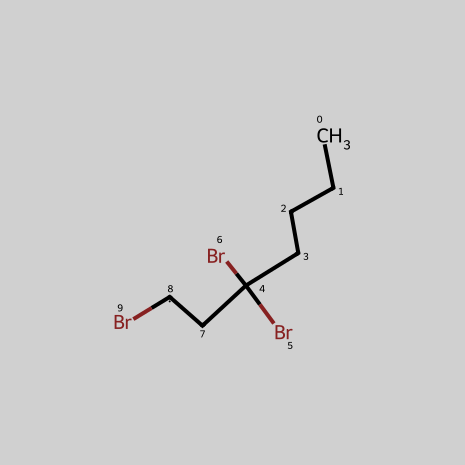 CCCCC(Br)(Br)C[CH]Br